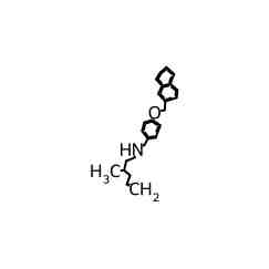 C=CCC(C)CCNCc1ccc(OCc2ccc3ccccc3c2)cc1